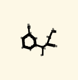 CN(C(=O)OC(C)(C)C)c1cc[c]c(Cl)c1